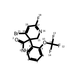 NC(=O)C1(c2ccccc2OC(F)(F)F)CN=C(F)C=C1Br